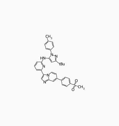 Cc1ccc(-n2nc(C(C)(C)C)cc2Nc2cccc(-c3cnc4cc(-c5ccc(S(C)(=O)=O)cc5)ccn34)n2)cc1